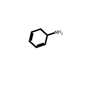 N[C]1C=CC=CC1